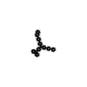 c1ccc(-c2ccc(-c3ccc(N(c4ccc(-c5ccc(-c6ccc7ccccc7c6)cc5)cc4)c4ccc(-n5c6ccccc6c6ccccc65)cc4)cc3)cc2)cc1